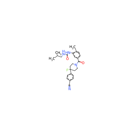 Cc1ccc(C(=O)N2CCC(F)(c3ccc(C#N)cc3)CC2)cc1NC(=O)NCC(C)C